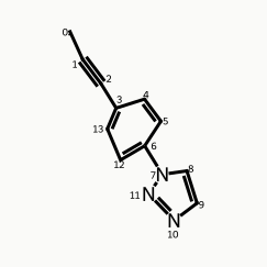 [CH2]C#Cc1ccc(-n2ccnn2)cc1